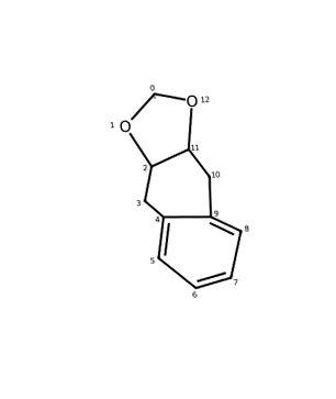 [CH]1OC2Cc3ccccc3CC2O1